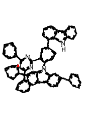 c1ccc(-c2ccc3c4ccc(-c5ccccc5)cc4n(-c4ccc(-c5cccc6c5[nH]c5ccccc56)cc4-c4nc(-c5ccccc5)nc(-c5ccccc5)n4)c3c2)cc1